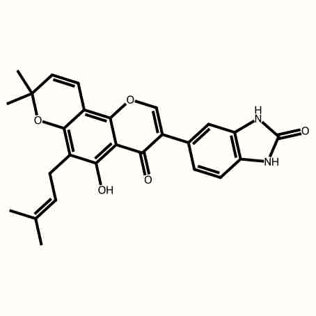 CC(C)=CCc1c2c(c3occ(-c4ccc5[nH]c(=O)[nH]c5c4)c(=O)c3c1O)C=CC(C)(C)O2